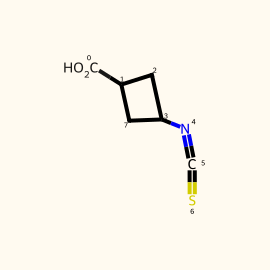 O=C(O)C1C[C](N=C=S)C1